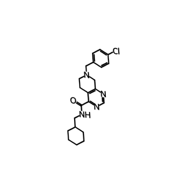 O=C(NCC1CCCCC1)c1ncnc2c1CCN(Cc1ccc(Cl)cc1)C2